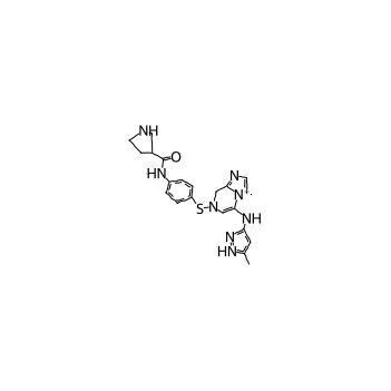 Cc1cc(NC2=CN(Sc3ccc(NC(=O)C4CCNC4)cc3)CC3=NC=C[N+]23)n[nH]1